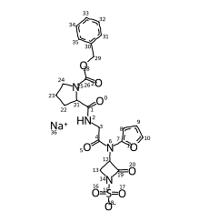 O=C(NCC(=O)N(c1ccco1)C1CN(S(=O)(=O)[O-])C1=O)C1CCCN1C(=O)OCc1ccccc1.[Na+]